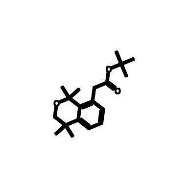 CC(C)(C)OC(=O)Cc1cccc2c1C(C)(C)OCC2(C)C